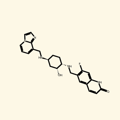 O=c1ccc2cc(CN[C@H]3CC[C@H](NCc4cccn5ccnc45)C[C@H]3O)c(F)cc2[nH]1